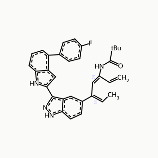 C=C/C(=C\C(=C/C)c1ccc2[nH]nc(-c3cc4c(-c5ccc(F)cc5)cccc4[nH]3)c2c1)NC(=O)C(C)(C)C